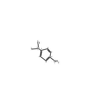 CCN(C)c1ccc(N)cc1